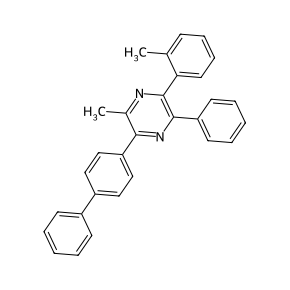 Cc1ccccc1-c1nc(C)c(-c2ccc(-c3ccccc3)cc2)nc1-c1ccccc1